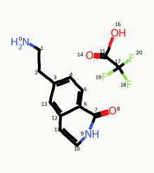 NCCc1ccc2c(=O)[nH]ccc2c1.O=C(O)C(F)(F)F